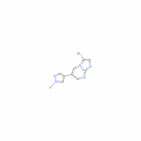 Cn1cc(-c2cnc3ncc(Br)n3c2)cn1